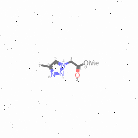 COC(=O)Cn1cc(C)nn1